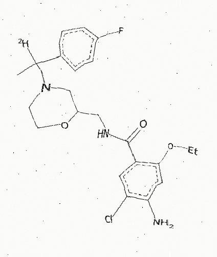 [2H]C(C)(c1ccc(F)cc1)N1CCOC(CNC(=O)c2cc(Cl)c(N)cc2OCC)C1